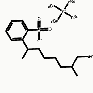 CC(C)CC(C)CCCCC(C)c1ccccc1S(=O)(=O)[O-].CCCC[P+](CCCC)(CCCC)CCCC